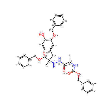 C[C@H](NC(=O)OCc1ccccc1)C(=O)NNC(C)(Cc1ccc(O)c(OCc2ccccc2)c1)C(=O)OCc1ccccc1